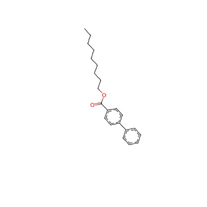 CCCCCCCCCOC(=O)c1ccc(-c2ccccc2)cc1